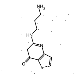 NCCCNC1=Nc2ccsc2C(=O)C1